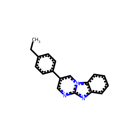 CCc1ccc(-c2cnc3nc4ccccc4n3c2)cc1